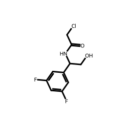 O=C(CCl)NC(CO)c1cc(F)cc(F)c1